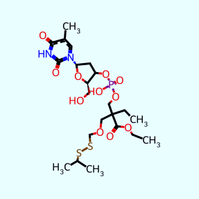 CCOC(=O)C(CC)(COCSSC(C)C)COP(=O)(O)OC1C[C@H](n2cc(C)c(=O)[nH]c2=O)O[C@@H]1CO